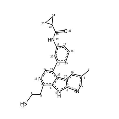 Cc1cnc2[nH]c3c(CCS)ncc(-c4cccc(NC(=O)C5CC5)c4)c3c2c1